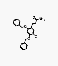 NC(=O)C=Cc1cc(Cl)c(OCc2ccccc2)cc1OCc1ccccc1